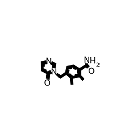 Cc1c(Cn2cnccc2=O)ccc(C(N)=O)c1C